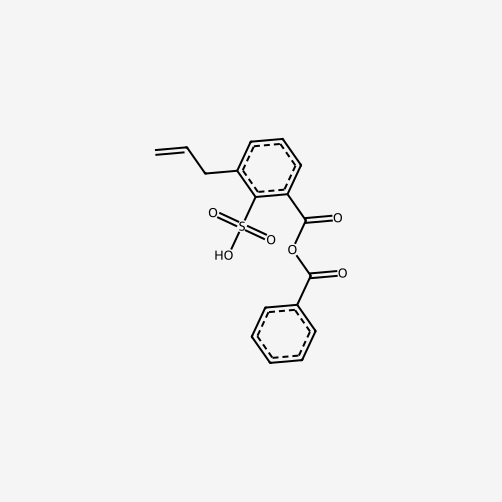 C=CCc1cccc(C(=O)OC(=O)c2ccccc2)c1S(=O)(=O)O